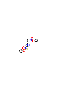 O=C(Oc1ccccc1)N1CCCC(c2ccc(N=[SH](=O)Oc3ccccc3)cn2)C1